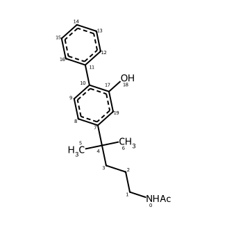 CC(=O)NCCCC(C)(C)c1ccc(-c2ccccc2)c(O)c1